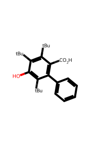 CC(C)(C)c1c(O)c(C(C)(C)C)c(C(C)(C)C)c(C(=O)O)c1-c1ccccc1